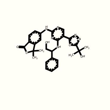 CC(C)(O)c1nnc(-c2cnc(Nc3ccc4c(c3)C(C)(C)OC4=O)nc2NC(CO)c2ccccc2)o1